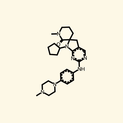 CN1CCN(c2ccc(Nc3ncc4c(n3)N(C3CCCC3)C3(CCCN(C)C3=O)C4)cc2)CC1